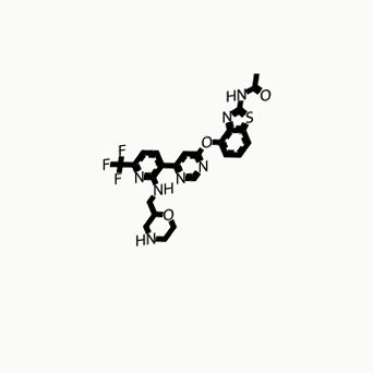 CC(=O)Nc1nc2c(Oc3cc(-c4ccc(C(F)(F)F)nc4NCC4CNCCO4)ncn3)cccc2s1